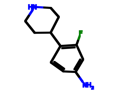 Nc1ccc(C2CCNCC2)c(F)c1